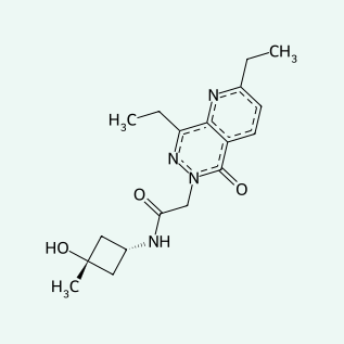 CCc1ccc2c(=O)n(CC(=O)N[C@H]3C[C@@](C)(O)C3)nc(CC)c2n1